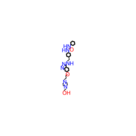 O=C(Nc1ccccc1)Nc1ccc(CCNc2ncnc3cc(OCCCN4CCN(CCO)CC4)ccc23)cc1